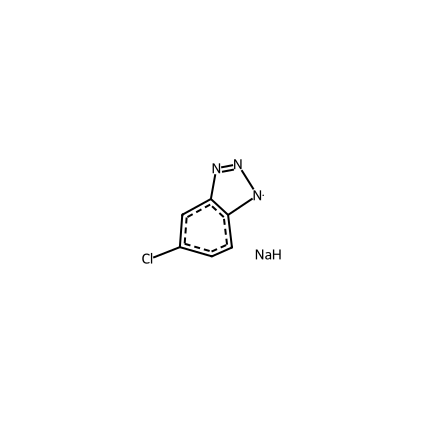 Clc1ccc2c(c1)N=N[N]2.[NaH]